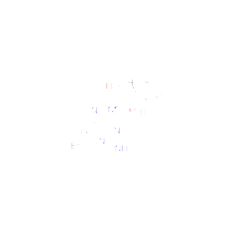 CCOc1nc(N)nc2c1ncn2[C@@H]1O[C@@H]2COSO[C@H]2[C@H]1O